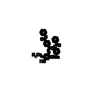 C=CCc1cc(/C=C/C(=O)c2ccc(C(=O)Oc3ccccc3)cc2)c(OC)cc1O.O=C(Oc1ccccc1)c1ccccc1